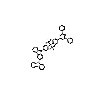 FC(F)(F)C(c1ccc(-c2cc(-c3ccccc3)nc(-c3ccccc3)c2)cc1)(c1ccc(-n2c3ccccc3c3cc(-n4c5ccccc5c5ccccc54)ccc32)cc1)C(F)(F)F